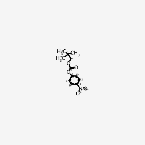 CC(C)(C)COC(=O)Oc1ccc([N+](=O)[O-])cc1